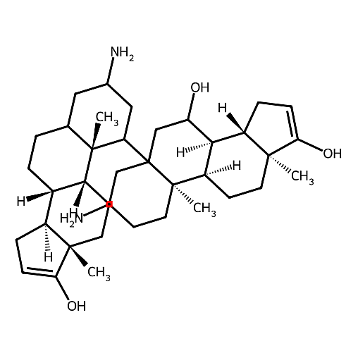 C[C@]12C(CC[C@@H]3[C@H]1CC[C@]1(C)C(O)=CC[C@@H]31)CC(N)CC2C12CC(N)CC[C@]1(C)[C@@H]1CC[C@]3(C)C(O)=CC[C@H]3[C@@H]1C(O)C2